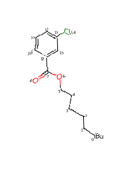 CCC(C)CCCCCOC(=O)c1[c]ccc(Cl)c1